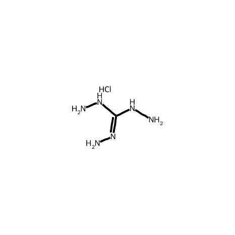 Cl.NN=C(NN)NN